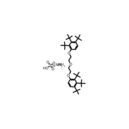 CC(C)(C)c1ccc(OCCOCCOc2ccc(C(C)(C)C)c(C(C)(C)C)c2C(C)(C)C)c(C(C)(C)C)c1C(C)(C)C.N.N.O=S(=O)(O)O